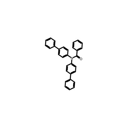 O=C(c1ccccc1)N(c1ccc(-c2ccccc2)cc1)c1ccc(-c2ccccc2)cc1